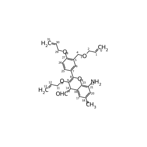 C=CCOCc1cc(C2=C(OCC=C)C(C=O)c3cc(C)cc(N)c3O2)ccc1OCC=C